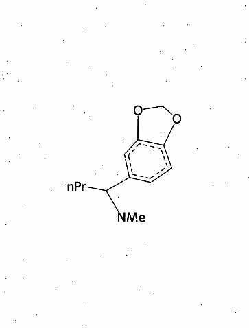 CCCC(NC)c1ccc2c(c1)OCO2